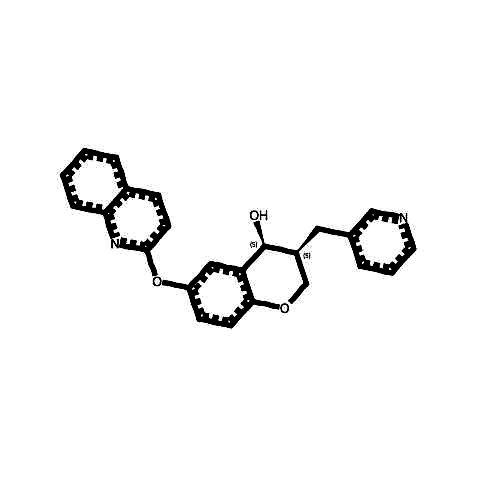 O[C@@H]1c2cc(Oc3ccc4ccccc4n3)ccc2OC[C@@H]1Cc1cccnc1